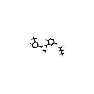 CC(C)(C)c1cc(-c2nc(O)nc(-c3cc(CNC(=O)C(C)(C)C(F)(F)F)ccc3Cl)n2)ccc1F